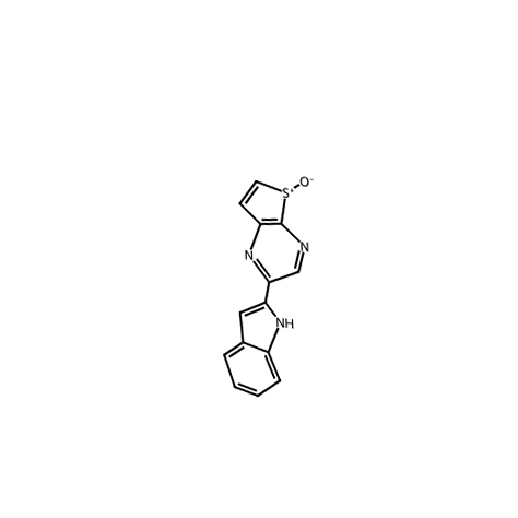 [O-][s+]1ccc2nc(-c3cc4ccccc4[nH]3)cnc21